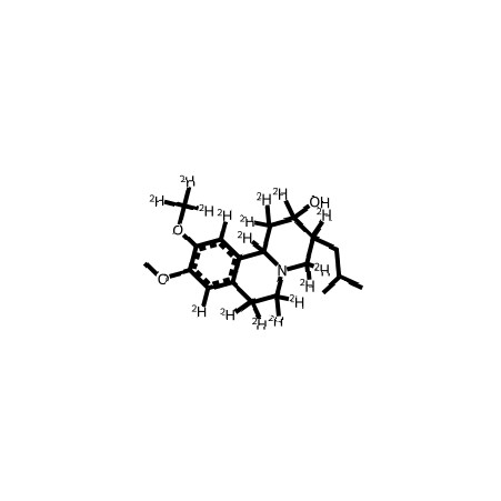 [2H]c1c(OC)c(OC([2H])([2H])[2H])c([2H])c2c1C([2H])([2H])C([2H])([2H])N1C([2H])([2H])C([2H])(CC(C)C)C([2H])(O)C([2H])([2H])C21[2H]